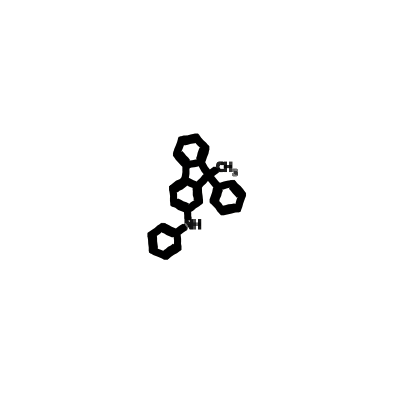 CC1(c2ccccc2)c2ccccc2-c2ccc(Nc3ccccc3)cc21